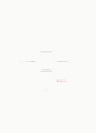 COC(=O)c1cc(Br)cc(Br)c1[N+](=O)[O-]